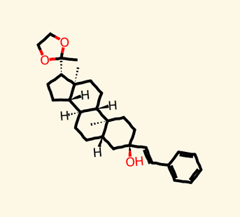 CC1([C@H]2CC[C@H]3[C@@H]4CC[C@H]5C[C@@](O)(/C=C/c6ccccc6)CC[C@]5(C)[C@H]4CC[C@]23C)OCCO1